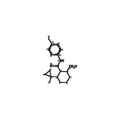 CC1(C2CCCC(C(=O)O)C2C(=O)Nc2ccc(I)cc2)CC1